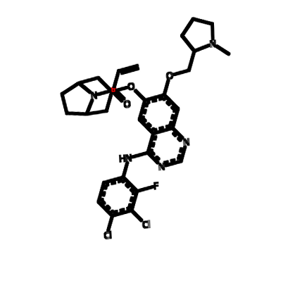 C=CC(=O)N1C2CCC1CC(Oc1cc3c(Nc4ccc(Cl)c(Cl)c4F)ncnc3cc1OCC1CCCN1C)C2